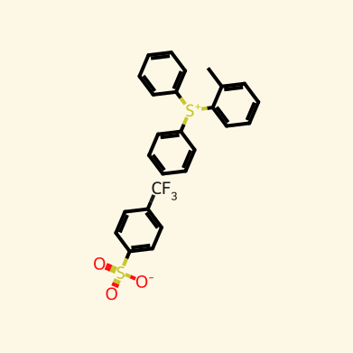 Cc1ccccc1[S+](c1ccccc1)c1ccccc1.O=S(=O)([O-])c1ccc(C(F)(F)F)cc1